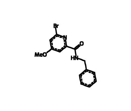 COc1cc(Br)nc(C(=O)NCc2ccccc2)c1